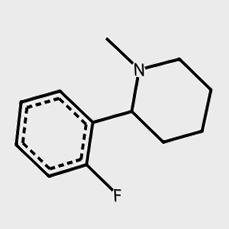 CN1CCCCC1c1ccccc1F